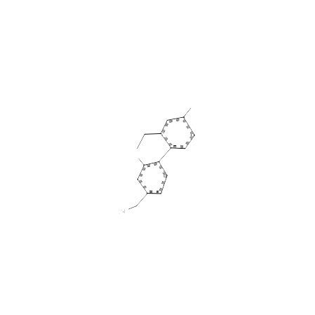 Fc1ccc2c(c1)COc1cc(CBr)ccc1-2